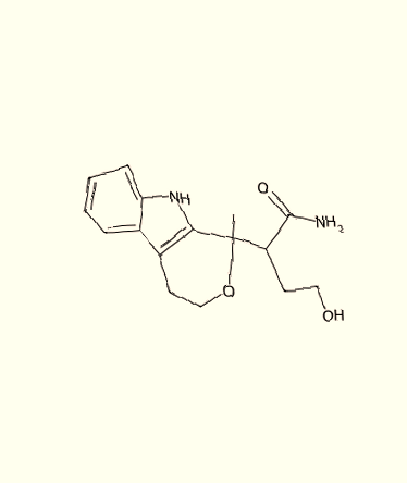 CC1(C(CCO)C(N)=O)OCCc2c1[nH]c1ccccc21